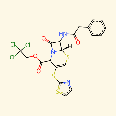 O=C(Cc1ccccc1)NC1C(=O)N2C(C(=O)OCC(Cl)(Cl)Cl)C(Sc3nccs3)=CS[C@@H]12